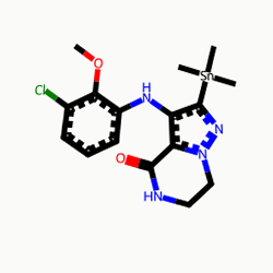 COc1c(Cl)cccc1Nc1[c]([Sn]([CH3])([CH3])[CH3])nn2c1C(=O)NCC2